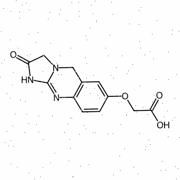 O=C(O)COc1ccc2c(c1)CN1CC(=O)NC1=N2